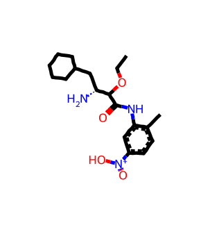 CCOC(C(=O)Nc1cc([N+](=O)O)ccc1C)[C@H](N)CC1CCCCC1